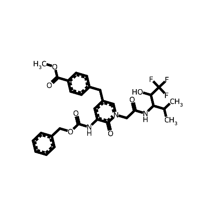 COC(=O)c1ccc(Cc2cc(NC(=O)OCc3ccccc3)c(=O)n(CC(=O)NC(C(C)C)C(O)C(F)(F)F)c2)cc1